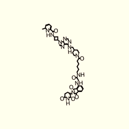 Cc1cccc(C(=O)NC2CC(n3cnc4c(NCC5CCN(C(=O)CCCCCNC(=O)CNc6cccc7c6C(=O)N([C@@H]6CCC(=O)NC6=O)C7=O)CC5)ncnc43)C2)n1